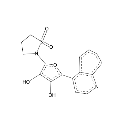 O=S1(=O)CCCN1c1oc(-c2ccnc3ccccc23)c(O)c1O